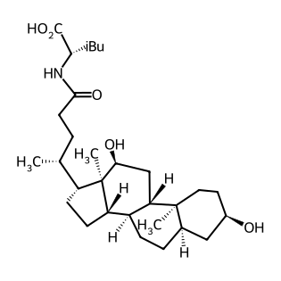 CCC(C)[C@H](NC(=O)CC[C@@H](C)[C@H]1CC[C@H]2[C@@H]3CC[C@@H]4C[C@H](O)CC[C@]4(C)[C@H]3C[C@H](O)[C@]12C)C(=O)O